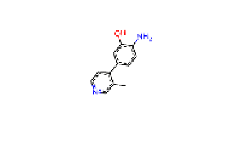 Cc1cnccc1-c1ccc(N)c(O)c1